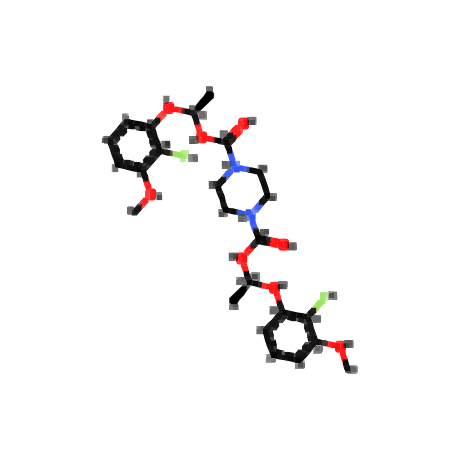 COc1cccc(O[C@@H](C)OC(=O)N2CCN(C(=O)O[C@H](C)Oc3cccc(OC)c3F)CC2)c1F